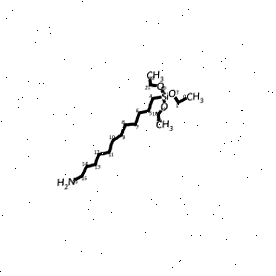 CCO[Si](CCCCCCCCCCCCN)(OCC)OCC